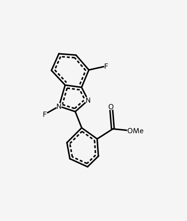 COC(=O)c1ccccc1-c1nc2c(F)cccc2n1F